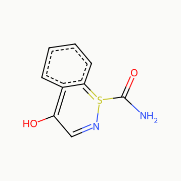 NC(=O)S1=c2ccccc2=C(O)C=N1